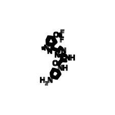 Cn1nc(-c2cnc3[nH]cc(C(=O)NC4CCC(N)CC4)c3n2)c2cc(OC(F)F)ccc21